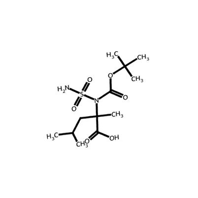 CC(C)CC(C)(C(=O)O)N(C(=O)OC(C)(C)C)S(N)(=O)=O